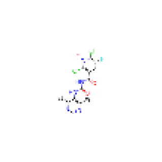 CCc1ncnc(CC)c1NC(=O)NC(=O)c1cc(F)c(Cl)[n+]([O-])c1Cl